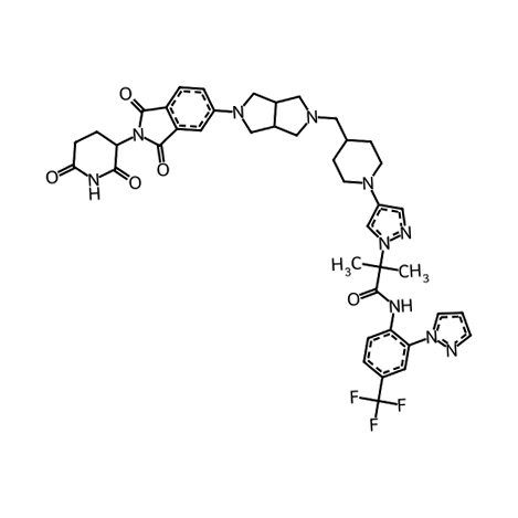 CC(C)(C(=O)Nc1ccc(C(F)(F)F)cc1-n1cccn1)n1cc(N2CCC(CN3CC4CN(c5ccc6c(c5)C(=O)N(C5CCC(=O)NC5=O)C6=O)CC4C3)CC2)cn1